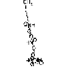 CCCCCCCCCCCC(=O)NCCOCCOCC(=O)NCCOCCOCC(=O)NC(Cc1ccccc1)C(=O)O